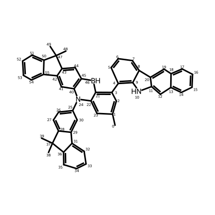 Cc1cc(-c2cccc3c2[nH]c2cc4ccccc4cc23)c2c(c1)N(c1ccc3c(c1)-c1ccccc1C3(C)C)c1cc3c(cc1B2)C(C)(C)c1ccccc1-3